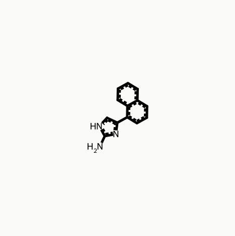 Nc1nc(-c2cccc3ccccc23)c[nH]1